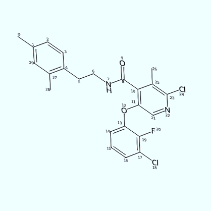 Cc1ccc(CCNC(=O)c2c(Oc3cccc(Cl)c3F)cnc(Cl)c2C)c(C)c1